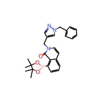 CC1(C)OB(c2cccc3ccn(Cc4cnn(Cc5ccccc5)c4)c(=O)c23)OC1(C)C